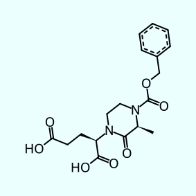 C[C@H]1C(=O)N([C@H](CCC(=O)O)C(=O)O)CCN1C(=O)OCc1ccccc1